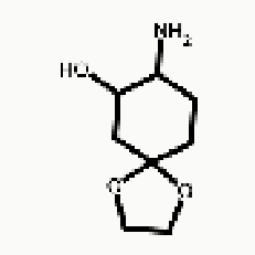 NC1CCC2(CC1O)OCCO2